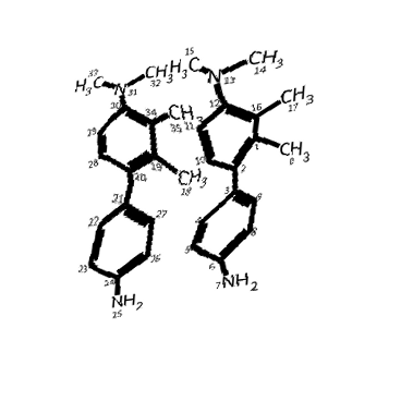 Cc1c(-c2ccc(N)cc2)ccc(N(C)C)c1C.Cc1c(-c2ccc(N)cc2)ccc(N(C)C)c1C